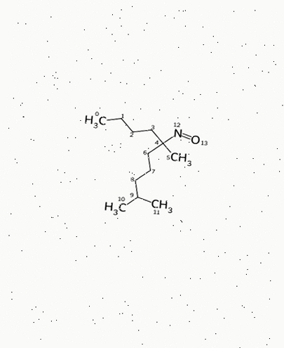 CCCCC(C)(CCCC(C)C)N=O